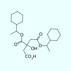 CC(OC(=O)CC(O)(CC(=O)O)C(=O)OC(C)C1CCCCC1)C1CCCCC1